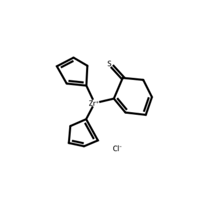 S=C1CC=CC=[C]1[Zr+]([C]1=CC=CC1)[C]1=CC=CC1.[Cl-]